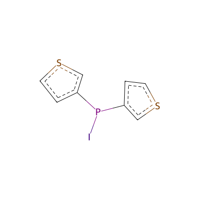 IP(c1ccsc1)c1ccsc1